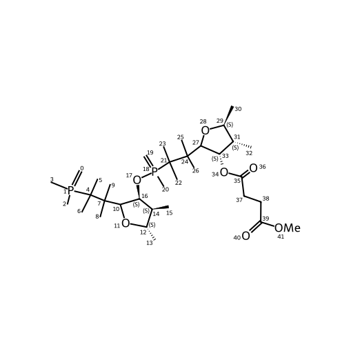 C=P(C)(C)C(C)(C)C(C)(C)C1O[C@@H](C)[C@H](C)[C@@H]1OP(=C)(C)C(C)(C)C(C)(C)C1O[C@@H](C)[C@H](C)[C@@H]1OC(=O)CCC(=O)OC